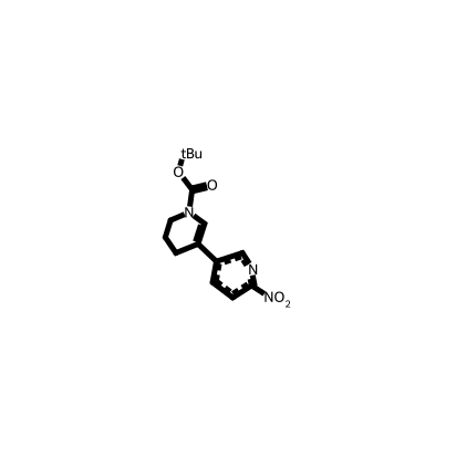 CC(C)(C)OC(=O)N1C=C(c2ccc([N+](=O)[O-])nc2)CCC1